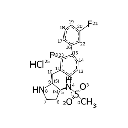 CS(=O)(=O)N[C@H]1CCN[C@H]1Cc1cccc(-c2cccc(F)c2)c1F.Cl